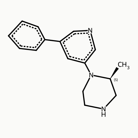 C[C@H]1CNCCN1c1cncc(-c2ccccc2)c1